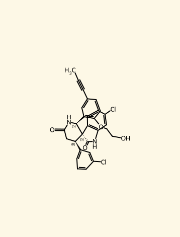 CC#Cc1ccc(OCCO)c([C@@H]2NC(=O)C[C@H](c3cccc(Cl)c3)[C@@]23C(=O)Nc2cc(Cl)ccc23)c1